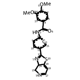 COc1ccc(C(=O)Nc2ccc(C3=NC4CN=CC=C4S3)cc2)cc1OC